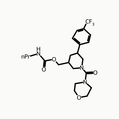 CCCNC(=O)OCC1CC(c2ccc(C(F)(F)F)cc2)CN(C(=O)N2CCOCC2)C1